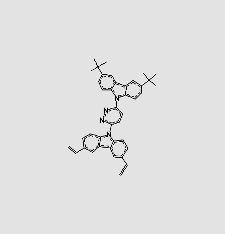 C=Cc1ccc2c(c1)c1cc(C=C)ccc1n2-c1ccc(-n2c3ccc(C(C)(C)C)cc3c3cc(C(C)(C)C)ccc32)nn1